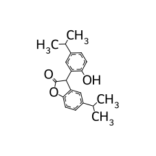 CC(C)c1ccc(O)c(C2C(=O)Oc3ccc(C(C)C)cc32)c1